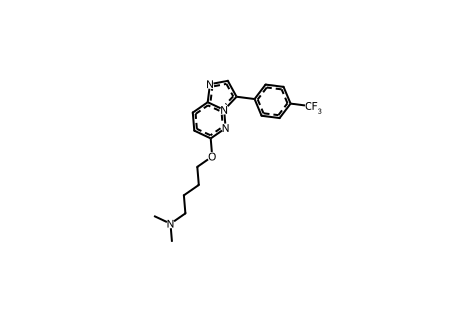 CN(C)CCCCOc1ccc2ncc(-c3ccc(C(F)(F)F)cc3)n2n1